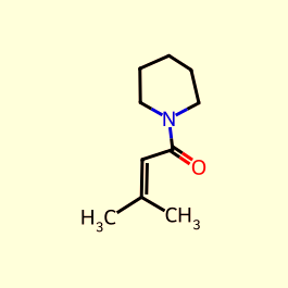 CC(C)=CC(=O)N1CCCCC1